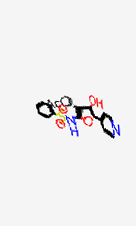 CC(=O)Oc1c(NS(=O)(=O)c2ccccc2)oc(-c2ccncc2)c1O